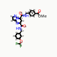 COC(=O)C12CCC(CNC(=O)c3cc(C(=O)NCc4cccc(OC(F)F)c4)nc4ccnn34)(CC1)CC2